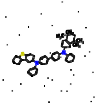 CC1(C)CCC(C)(C)c2cc(N(c3ccccc3)c3ccc(-c4ccc(N(c5ccccc5)c5ccc6sc7ccccc7c6c5)cc4)cc3)ccc21